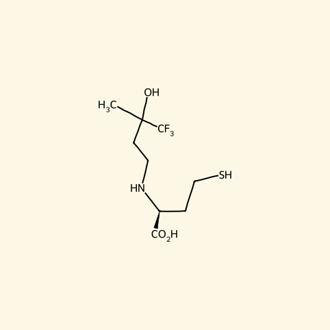 CC(O)(CCN[C@@H](CCS)C(=O)O)C(F)(F)F